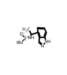 CC(N[S@+]([O-])C(C)(C)C)c1cccc2[nH]ncc12